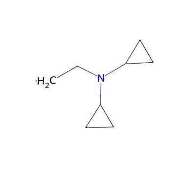 [CH2]CN(C1CC1)C1CC1